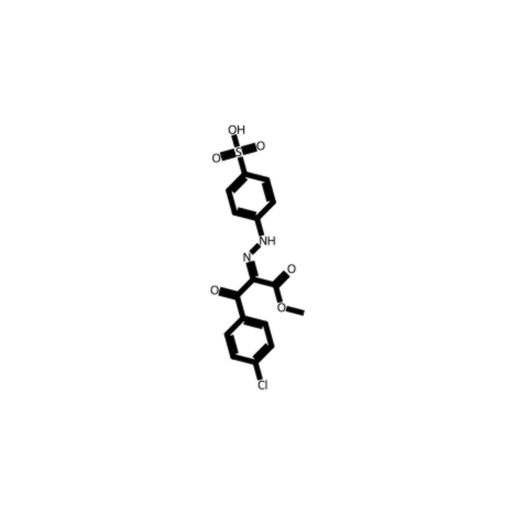 COC(=O)C(=NNc1ccc(S(=O)(=O)O)cc1)C(=O)c1ccc(Cl)cc1